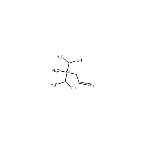 C=CC[N+](C)(C(C)O)C(C)O